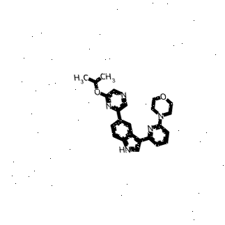 CC(C)Oc1cncc(-c2ccc3[nH]cc(-c4cccc(N5CCOCC5)n4)c3c2)n1